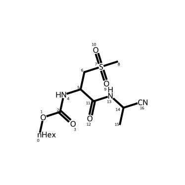 CCCCCCOC(=O)NC(CS(C)(=O)=O)C(=O)NC(C)C#N